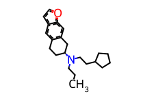 CCCN(CCC1CCCC1)[C@H]1CCc2cc3ccoc3cc2C1